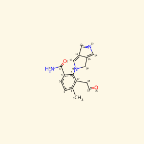 Cc1ccc(C(N)=O)c(N2C=C3C=NC=C3C2)c1CC=O